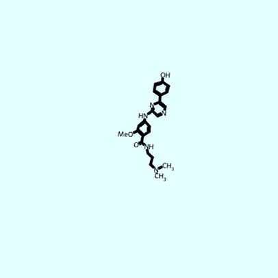 COc1cc(Nc2cncc(-c3ccc(O)cc3)n2)ccc1C(=O)NCCCN(C)C